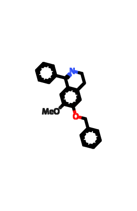 COc1cc2c(cc1OCc1ccccc1)CCN=C2c1ccccc1